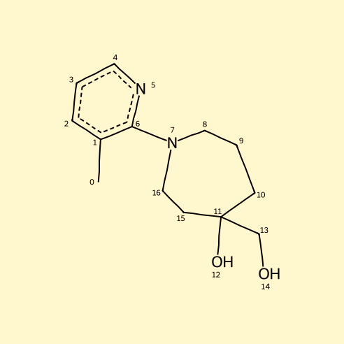 Cc1cccnc1N1CCCC(O)(CO)CC1